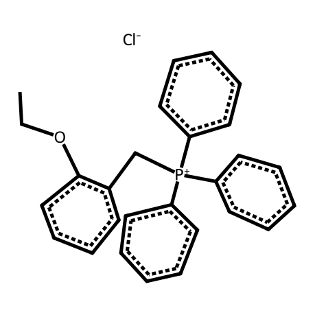 CCOc1ccccc1C[P+](c1ccccc1)(c1ccccc1)c1ccccc1.[Cl-]